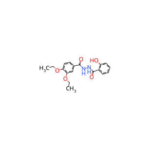 CCOc1ccc(C(=O)NNC(=O)c2ccccc2O)cc1OCC